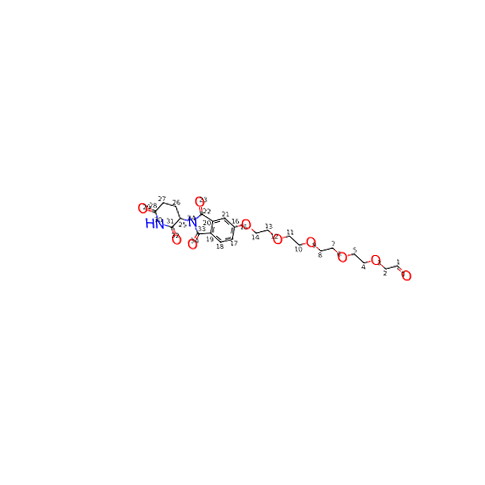 O=CCOCCOCCOCCOCCOc1ccc2c(c1)C(=O)N(C1CCC(=O)NC1=O)C2=O